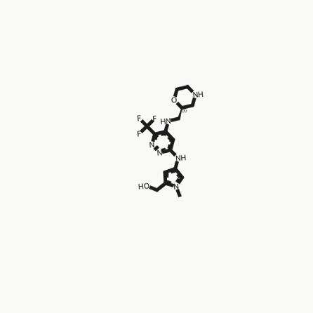 Cn1cc(Nc2cc(NC[C@@H]3CNCCO3)c(C(F)(F)F)nn2)cc1CO